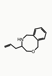 C=CCC1COCc2ccccc2CN1